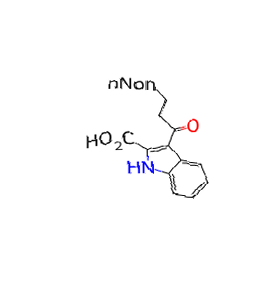 CCCCCCCCCCCC(=O)c1c(C(=O)O)[nH]c2ccccc12